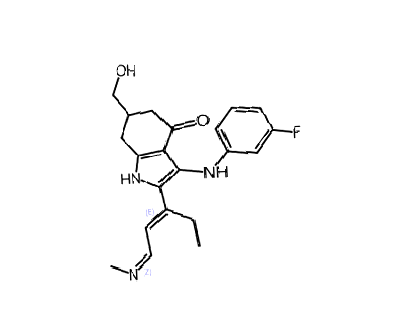 CC/C(=C\C=N/C)c1[nH]c2c(c1Nc1cccc(F)c1)C(=O)CC(CO)C2